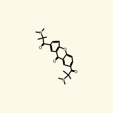 CN(C)C(C)(C)C(=O)c1ccc2oc3ccc(C(=O)C(C)(C)N(C)C)cc3c(=O)c2c1